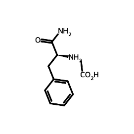 CC(=O)O.NC(=O)[C@@H](N)Cc1ccccc1